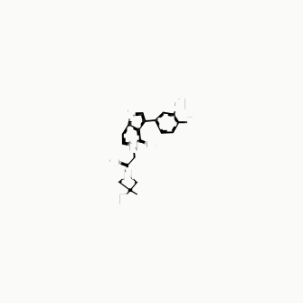 CC1(F)CN(C(=O)Cn2ccc3scc(-c4ccc(F)c(Cl)c4)c3c2=O)C1